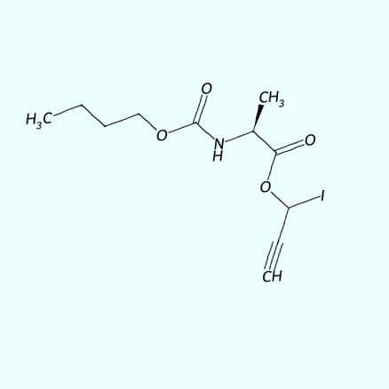 C#CC(I)OC(=O)[C@H](C)NC(=O)OCCCC